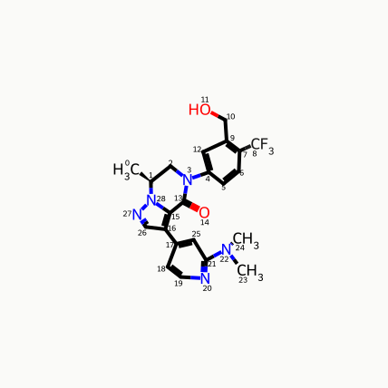 C[C@H]1CN(c2ccc(C(F)(F)F)c(CO)c2)C(=O)c2c(-c3ccnc(N(C)C)c3)cnn21